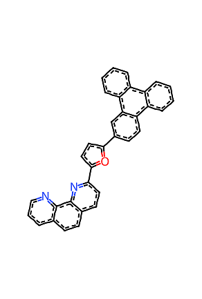 c1cnc2c(c1)ccc1ccc(-c3ccc(-c4ccc5c6ccccc6c6ccccc6c5c4)o3)nc12